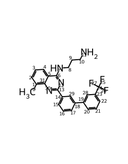 Cc1cccc2c(NCCCN)nc(-c3cccc(-c4cccc(C(F)(F)F)c4)c3)nc12